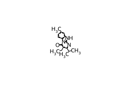 CCc1c(C(C)C)nc2[nH]c3cc(C)ccc3n2c1=O